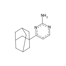 Nc1nccc(C23CC4CC(CC(C4)C2)C3)n1